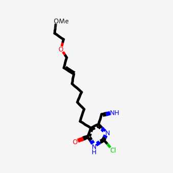 COCCOC/C=C/CCCCCc1c(C=N)nc(Cl)[nH]c1=O